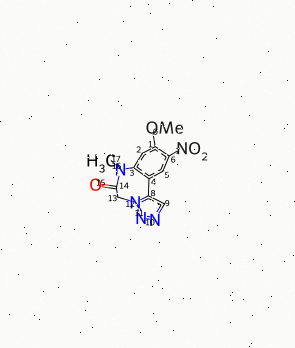 COc1cc2c(cc1[N+](=O)[O-])-c1cnnn1CC(=O)N2C